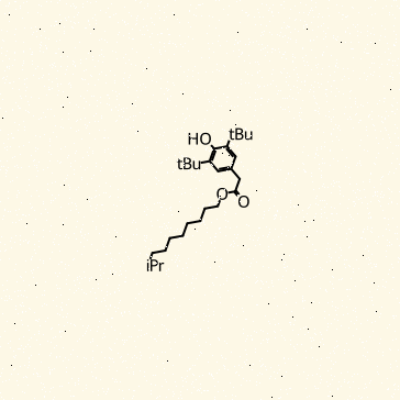 CC(C)CCCCCCCCOC(=O)Cc1cc(C(C)(C)C)c(O)c(C(C)(C)C)c1